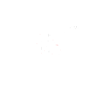 COc1ccc(O[C@@H]2O[C@@H]3COC(c4ccccc4)O[C@@H]3[C@H](OCc3ccccc3)[C@H]2OC(=O)c2ccc(C)cc2)cc1